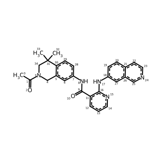 CC(=O)N1Cc2cc(NC(=O)c3cccnc3Nc3ccc4ccncc4c3)ccc2C(C)(C)C1